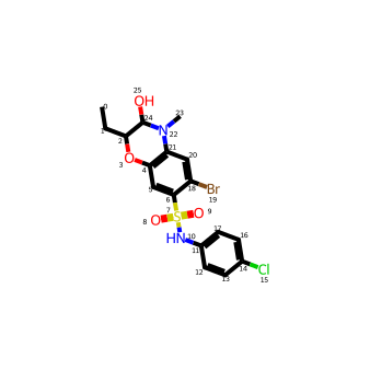 CCC1Oc2cc(S(=O)(=O)Nc3ccc(Cl)cc3)c(Br)cc2N(C)C1O